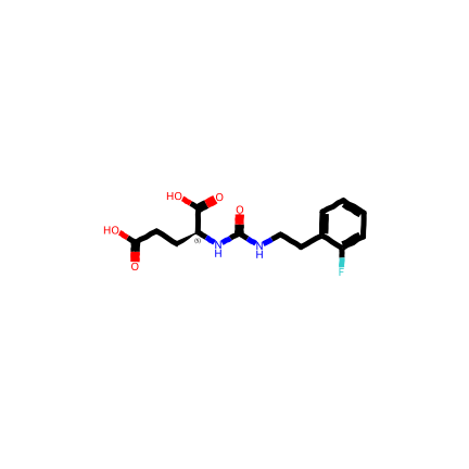 O=C(O)CC[C@H](NC(=O)NCCc1ccccc1F)C(=O)O